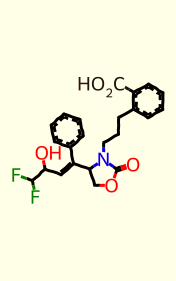 O=C(O)c1ccccc1CCCN1C(=O)OCC1C(=CC(O)C(F)F)c1ccccc1